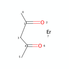 CC(=O)CC(C)=O.[Er]